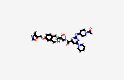 CC(=O)N1CCC(Nc2nc(C(=O)NC[C@@H](O)[C@@H]3Cc4ccc(OCc5ocnc5C)cc4CN3)cc(N3CCCCC3)n2)CC1